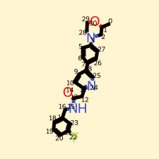 CC1CN(c2ccc(-c3ccc(CC(=O)NCc4cccc(F)c4)nc3)cc2)CCO1